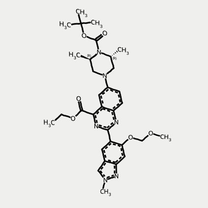 CCOC(=O)c1nc(-c2cc3cn(C)nc3cc2OCOC)nc2ccc(N3C[C@@H](C)N(C(=O)OC(C)(C)C)[C@H](C)C3)cc12